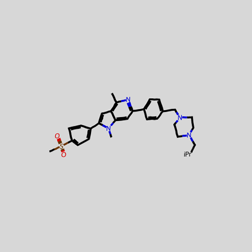 Cc1nc(-c2ccc(CN3CCN(CC(C)C)CC3)cc2)cc2c1cc(-c1ccc(S(C)(=O)=O)cc1)n2C